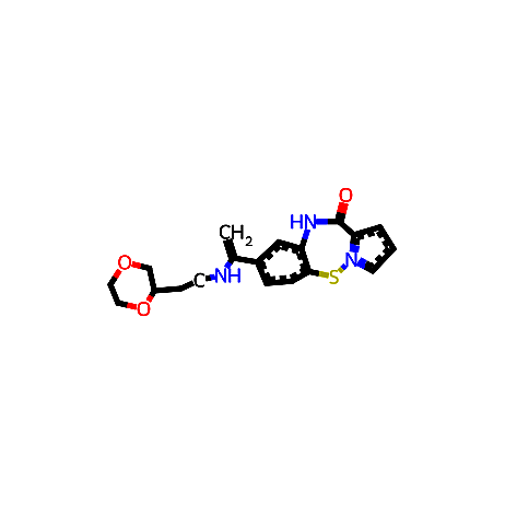 C=C(NCCC1COCCO1)c1ccc2c(c1)NC(=O)c1cccn1S2